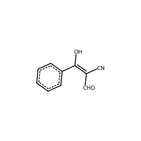 N#CC(C=O)=C(O)c1ccccc1